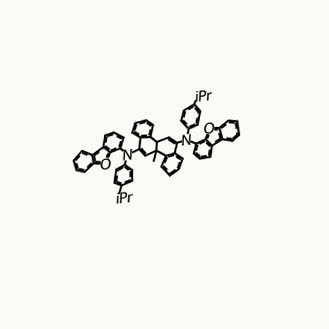 CC(C)c1ccc(N(C2=CC3(C)c4ccccc4C(N(c4ccc(C(C)C)cc4)c4cccc5c4oc4ccccc45)=CC3c3ccccc32)c2cccc3c2oc2ccccc23)cc1